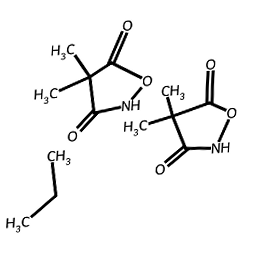 CC1(C)C(=O)NOC1=O.CC1(C)C(=O)NOC1=O.CCC